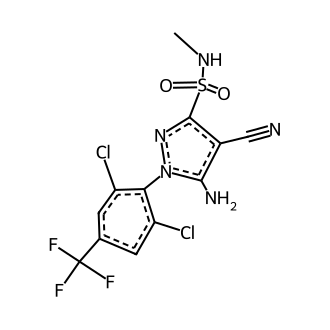 CNS(=O)(=O)c1nn(-c2c(Cl)cc(C(F)(F)F)cc2Cl)c(N)c1C#N